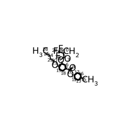 C=C(C(=O)Oc1cc(C(=O)Oc2ccc(C)cc2)ccc1OCCCCC)C(F)(F)F